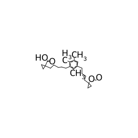 Cc1cc(CCCCC2(OC=O)CC2)c(C)c(CCCCCC2(C(=O)O)CC2)c1C